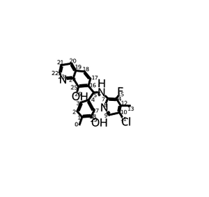 Cc1ccc(C(Nc2ncc(Cl)c(C)c2F)c2ccc3cccnc3c2O)cc1O